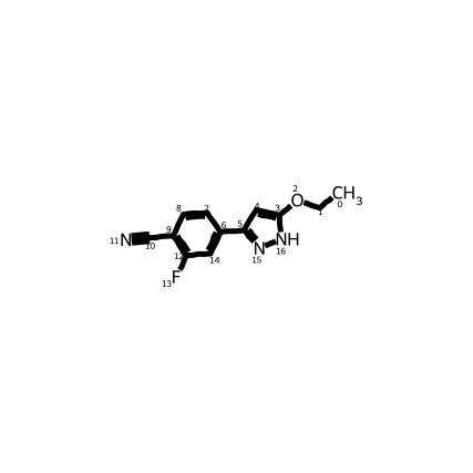 CCOc1cc(-c2ccc(C#N)c(F)c2)n[nH]1